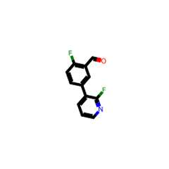 O=Cc1cc(-c2cccnc2F)ccc1F